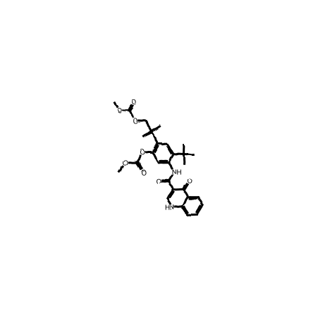 COC(=O)OCC(C)(C)c1cc(C(C)(C)C)c(NC(=O)c2c[nH]c3ccccc3c2=O)cc1OC(=O)OC